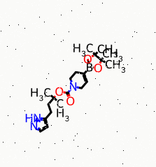 CC(C)(CCc1ccn[nH]1)OC(=O)N1CC=C(B2OC(C)(C)C(C)(C)O2)CC1